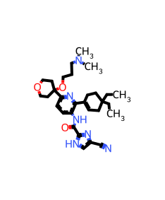 CCC1(CC)CC=C(c2nc(C3(OCCCN(C)C)CCOCC3)ccc2NC(=O)c2nc(C#N)c[nH]2)CC1